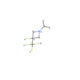 CC(C)N1CC(F)(C(F)(F)F)C1